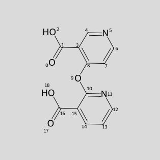 O=C(O)c1cnccc1Oc1ncccc1C(=O)O